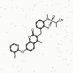 Cc1c(Cc2cccc(N(C)S(=O)(=O)C(C)C#N)c2F)c(=O)oc2cc(Oc3ncccc3F)ccc12